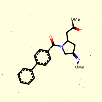 CO/N=C1/CC(CC(=O)OC)N(C(=O)c2ccc(-c3ccccc3)cc2)C1